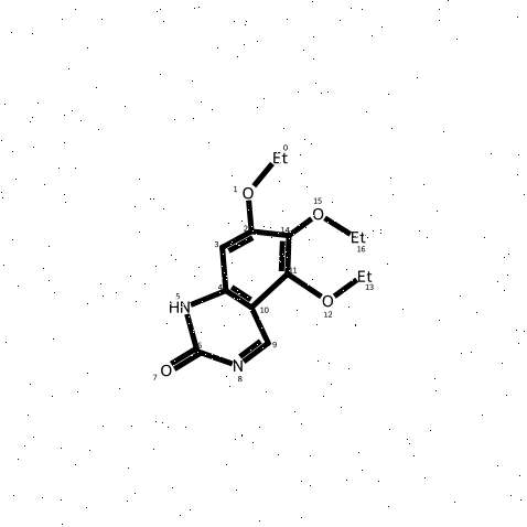 CCOc1cc2[nH]c(=O)ncc2c(OCC)c1OCC